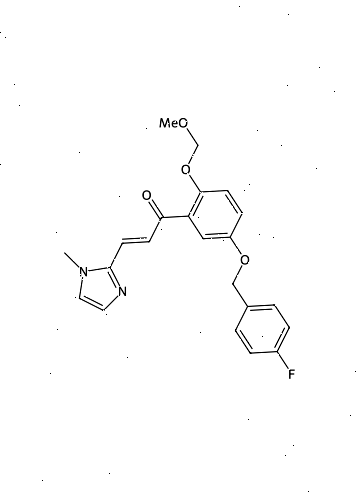 COCOc1ccc(OCc2ccc(F)cc2)cc1C(=O)C=Cc1nccn1C